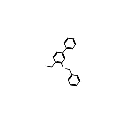 NCc1ccc(-c2ccccc2)cc1OCc1ccccc1